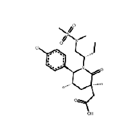 CC[C@@H](CN(C)S(C)(=O)=O)N1C(=O)[C@@](C)(CC(=O)O)C[C@H](C)[C@H]1c1ccc(Cl)cc1